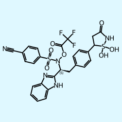 N#Cc1ccc(S(=O)(=O)N(OC(=O)C(F)(F)F)[C@@H](Cc2ccc(C3CC(=O)NS3(O)O)cc2)c2nc3ccccc3[nH]2)cc1